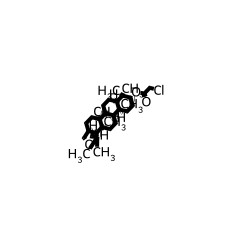 CC1(C)CC[C@]23CC[C@]4(C)[C@H](CC[C@@H]5[C@@]6(C)CC[C@H](OC(=O)CCl)C(C)(C)[C@@H]6CC[C@]54C)[C@H]2C1OC3